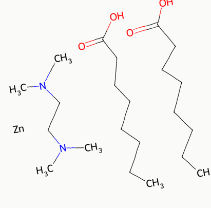 CCCCCCCC(=O)O.CCCCCCCC(=O)O.CN(C)CCN(C)C.[Zn]